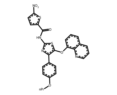 CCCOc1ccc(-c2nc(NC(=O)c3ccc([N+](=O)[O-])s3)sc2Oc2cccc3cccnc23)cc1